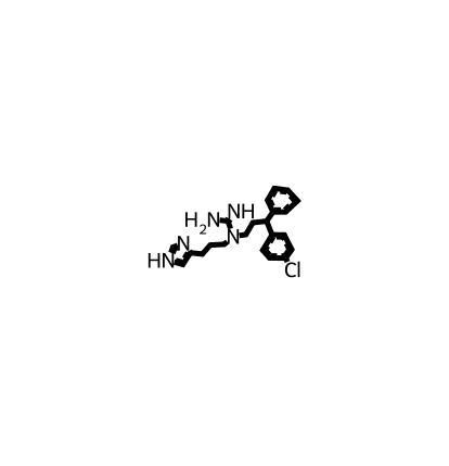 N=C(N)N(CCCc1c[nH]cn1)CCC(c1ccccc1)c1ccc(Cl)cc1